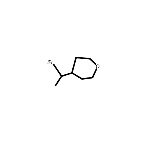 CC(C)C(C)C1CCOCC1